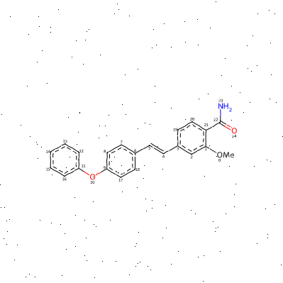 COc1cc(/C=C/c2ccc(Oc3ccccc3)cc2)ccc1C(N)=O